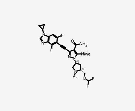 CNc1c(C(N)=O)c(C#Cc2c(F)cc3c(ncn3C3CC3)c2F)nn1[C@H]1C[C@H](COC(F)F)N(C(C)=O)C1